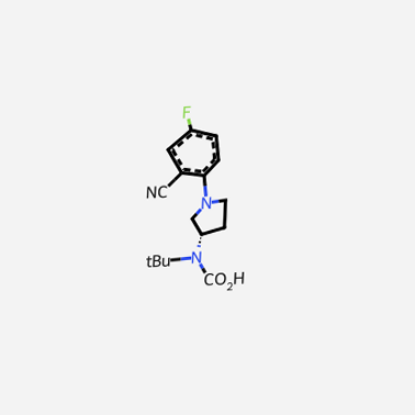 CC(C)(C)N(C(=O)O)[C@H]1CCN(c2ccc(F)cc2C#N)C1